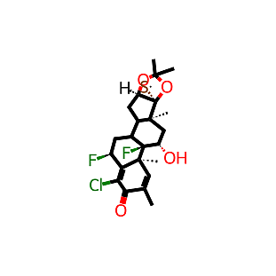 CC1=C[C@@]2(C)C(=C(Cl)C1=O)[C@@H](F)CC1C3C[C@H]4OC(C)(C)O[C@@]4([S])[C@@]3(C)C[C@H](O)[C@@]12F